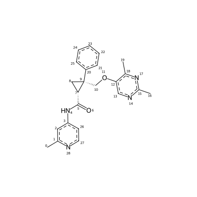 Cc1cc(NC(=O)[C@@H]2C[C@@]2(COc2cnc(C)nc2C)c2ccccc2)ccn1